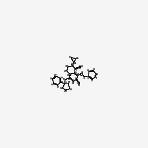 O=C1c2c(OCc3ccccc3)c(=O)nc(CC3(c4ccccc4)CCCC3)n2CCN1C1CC1